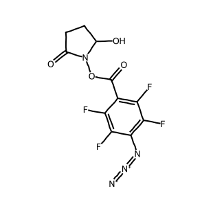 [N-]=[N+]=Nc1c(F)c(F)c(C(=O)ON2C(=O)CCC2O)c(F)c1F